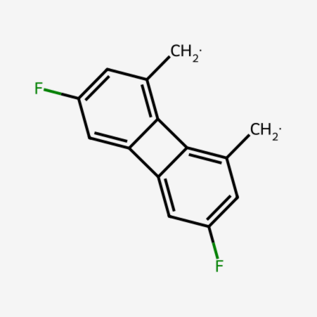 [CH2]c1cc(F)cc2c1-c1c([CH2])cc(F)cc1-2